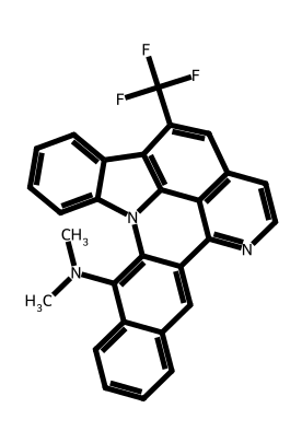 CN(C)c1c2ccccc2cc2c3nccc4cc(C(F)(F)F)c5c6ccccc6n(c12)c5c43